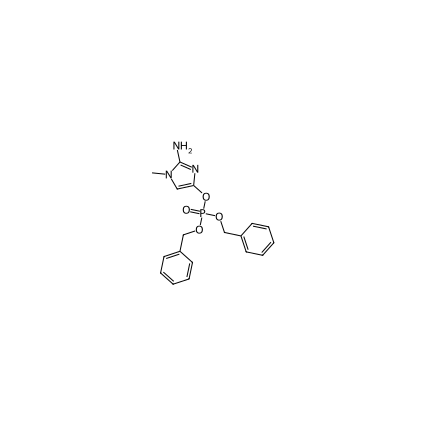 Cn1cc(OP(=O)(OCc2ccccc2)OCc2ccccc2)nc1N